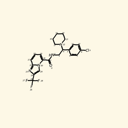 O=C(NCC(c1ccc(Cl)cc1)N1CCCCC1)c1cccc2nc(C(F)(F)F)cn12